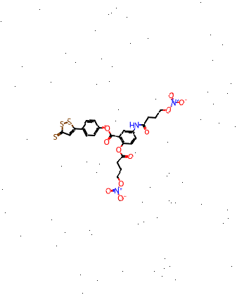 O=C(CCCO[N+](=O)[O-])Nc1ccc(OC(=O)CCCO[N+](=O)[O-])c(C(=O)Oc2ccc(-c3cc(=S)ss3)cc2)c1